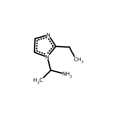 CCc1nccn1C(C)N